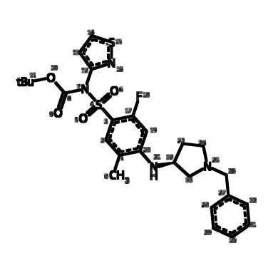 Cc1cc(S(=O)(=O)N(C(=O)OC(C)(C)C)c2ccsn2)c(F)cc1N[C@H]1CCN(Cc2ccccc2)C1